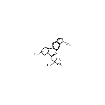 C[C@H]1CC=C(c2ccc3c(cnn3C)c2)N(C(=O)OC(C)(C)C)C1